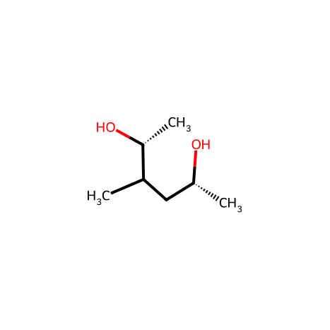 CC(C[C@@H](C)O)[C@@H](C)O